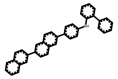 c1ccc(-c2ccccc2Nc2ccc(-c3ccc4cc(-c5ccc6ccccc6c5)ccc4c3)cc2)cc1